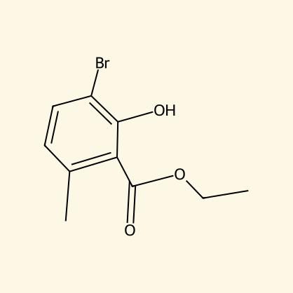 CCOC(=O)c1c(C)ccc(Br)c1O